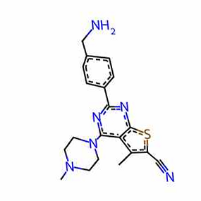 Cc1c(C#N)sc2nc(-c3ccc(CN)cc3)nc(N3CCN(C)CC3)c12